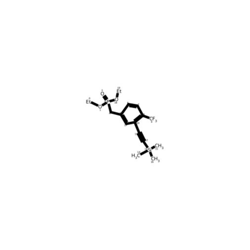 CCOP(=O)(Cc1ccc(C(F)(F)F)c(C#C[Si](C)(C)C)c1)OCC